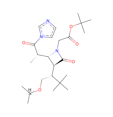 C[C@H](C(=O)n1ccnc1)[C@H]1[C@H]([C@@H](CO[SiH](C)C)C(C)(C)C)C(=O)N1CC(=O)OC(C)(C)C